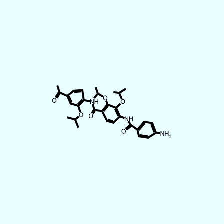 CC(=O)c1ccc(NC(=O)c2ccc(NC(=O)c3ccc(N)cc3)c(OC(C)C)c2OC(C)C)c(OC(C)C)c1